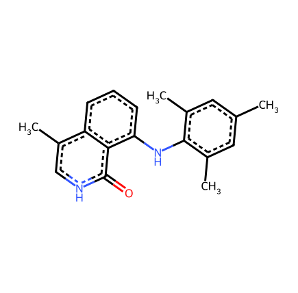 Cc1cc(C)c(Nc2cccc3c(C)c[nH]c(=O)c23)c(C)c1